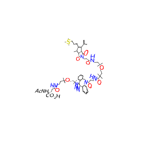 C=C(C)C1C(CCCS(C)(C)C)C(C)C2C(=O)N(CCC(=O)NCCC(C)(C)OCCC(C)(C)C(=O)NCCC(=O)N3Cc4ccccc4-c4c(nnn4C(C)(C)CCOC(C)(C)CCNC(=O)CC[C@H](NC(C)=O)C(=O)O)-c4ccccc43)C(=O)C21